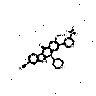 C#Cc1ccc2c(c1)[nH]c1c2c(=O)c2cc(OCCCC)c(-c3cncc(S(=O)(=O)F)c3)cc2n1C1CCNCC1